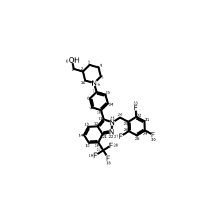 OCC1CCCN(c2ccc(-c3c4cccc(C(F)(F)F)c4nn3Cc3c(F)cc(F)cc3F)cc2)C1